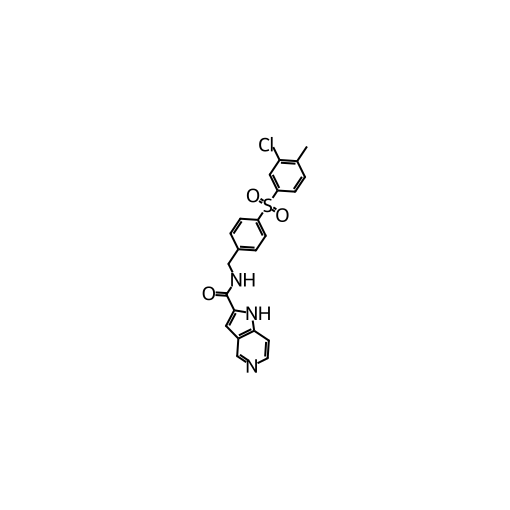 Cc1ccc(S(=O)(=O)c2ccc(CNC(=O)c3cc4cnccc4[nH]3)cc2)cc1Cl